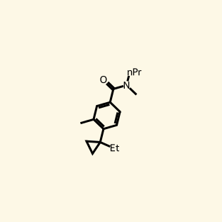 CCCN(C)C(=O)c1ccc(C2(CC)CC2)c(C)c1